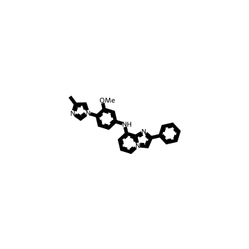 COc1cc(Nc2cccn3cc(-c4ccccc4)nc23)ccc1-n1cnc(C)c1